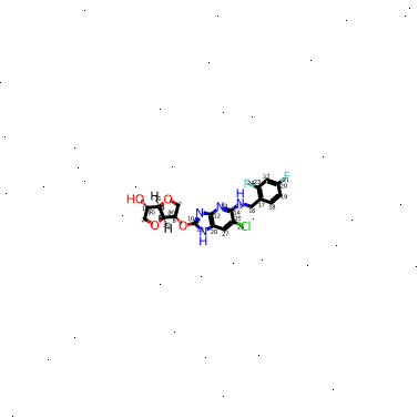 O[C@@H]1CO[C@H]2[C@@H]1OC[C@H]2Oc1nc2nc(NCc3ccc(F)cc3F)c(Cl)cc2[nH]1